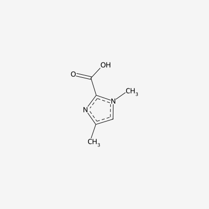 Cc1cn(C)c(C(=O)O)n1